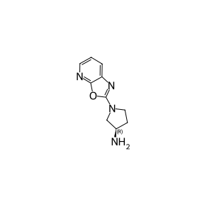 N[C@@H]1CCN(c2nc3cccnc3o2)C1